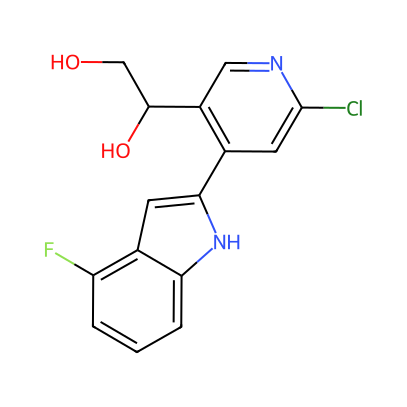 OCC(O)c1cnc(Cl)cc1-c1cc2c(F)cccc2[nH]1